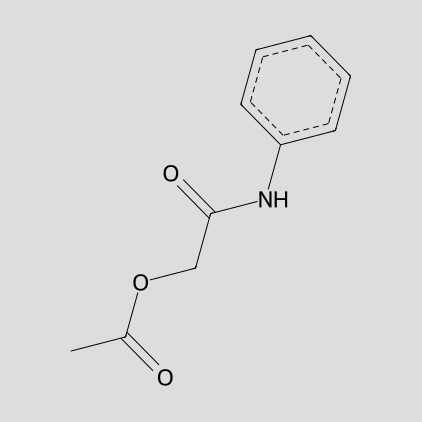 CC(=O)OCC(=O)Nc1ccccc1